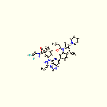 CCC(=O)N(c1cc(-c2cc3ncn4c3c(n2)N(c2ccc(C)c(C(=O)NCC(F)F)c2)NC4C)ccc1CC)[C@H]1C[C@@H](N2CCCCC2)C1